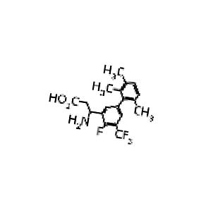 Cc1ccc(C)c(-c2cc(C(N)CC(=O)O)c(F)c(C(F)(F)F)c2)c1C